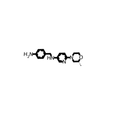 C[C@@H]1CN(c2ccc(NCc3ccc(N)cc3)cn2)CCO1